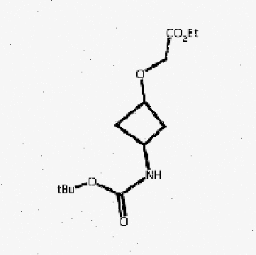 CCOC(=O)COC1CC(NC(=O)OC(C)(C)C)C1